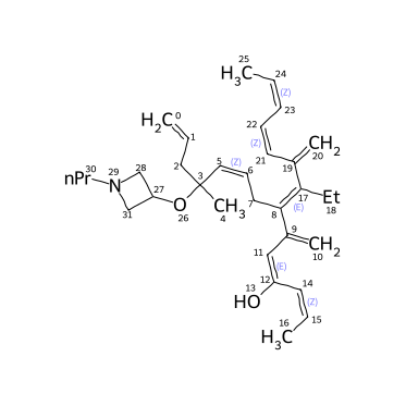 C=CCC(C)(/C=C\C/C(C(=C)/C=C(O)\C=C/C)=C(/CC)C(=C)/C=C\C=C/C)OC1CN(CCC)C1